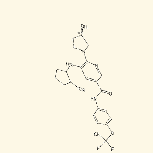 N#CC1CCCC1Nc1cc(C(=O)Nc2ccc(OC(F)(F)Cl)cc2)cnc1N1CC[C@@H](O)C1